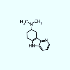 CN(C)[C@H]1CCc2[nH]c3cccnc3c2C1